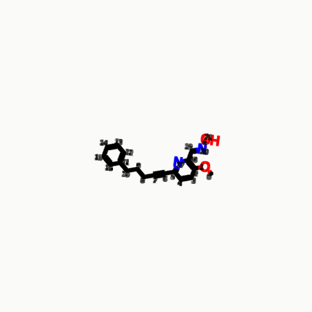 COc1ccc(C#CCCCc2ccccc2)nc1/C=N/O